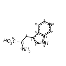 N[C@@H](Cc1c[nH]c2cnccc12)C(=O)O